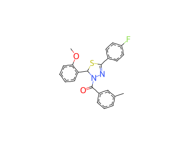 COc1ccccc1C1SC(c2ccc(F)cc2)=NN1C(=O)c1cccc(C)c1